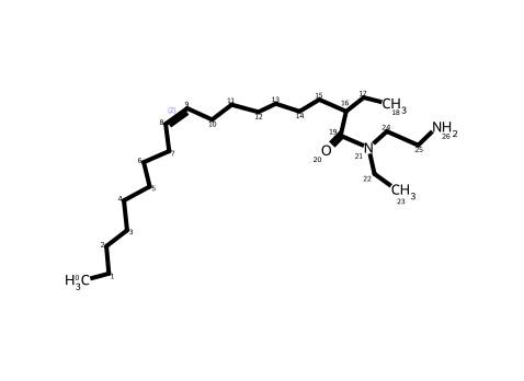 CCCCCCCC/C=C\CCCCCCC(CC)C(=O)N(CC)CCN